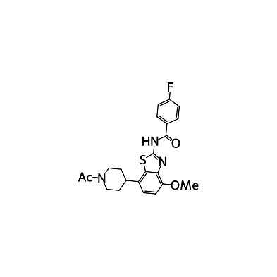 COc1ccc(C2CCN(C(C)=O)CC2)c2sc(NC(=O)c3ccc(F)cc3)nc12